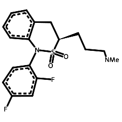 CNCCC[C@@H]1Cc2ccccc2N(c2ccc(F)cc2F)S1(=O)=O